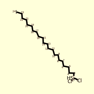 Cl[SiH](Cl)CCCCCCCCCCCCCCCCCCCCCI